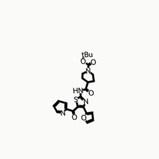 CC(C)(C)OC(=O)N1CCC(C(=O)Nc2nc(-c3ccco3)c(C(=O)c3ccccn3)s2)CC1